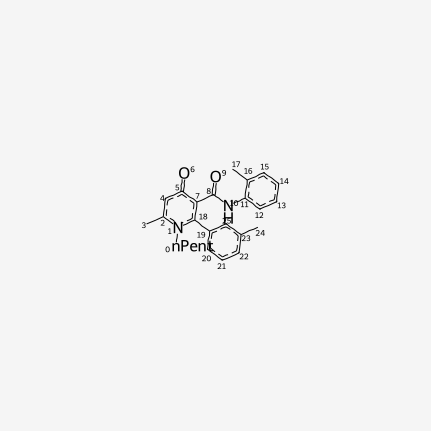 CCCCCn1c(C)cc(=O)c(C(=O)Nc2ccccc2C)c1-c1cccc(C)c1